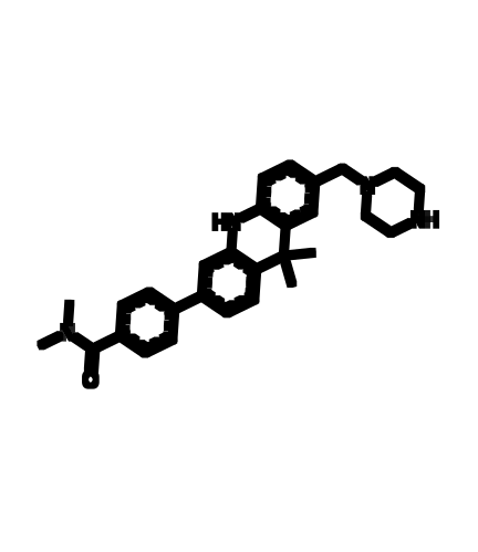 CN(C)C(=O)c1ccc(-c2ccc3c(c2)Nc2ccc(CN4CCNCC4)cc2C3(C)C)cc1